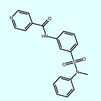 CN(c1ccccc1)S(=O)(=O)c1cccc(NC(=O)c2ccncc2)c1